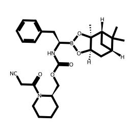 CC1(C)[C@@H]2C[C@H]3OB([C@H](Cc4ccccc4)NC(=O)OC[C@H]4CCCCN4C(=O)CC#N)O[C@@]3(C)[C@H]1C2